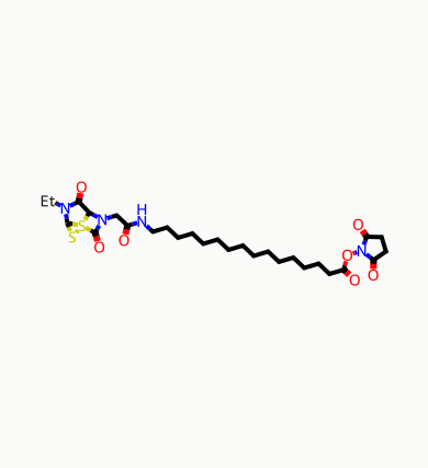 CCN1C(=O)C2N(CC(=O)NCCCCCCCCCCCCCCCC(=O)ON3C(=O)CCC3=O)C(=O)S23SC13